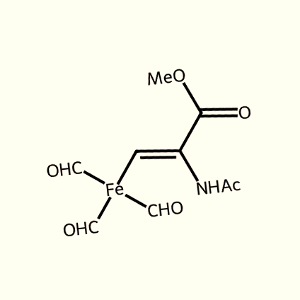 COC(=O)C(=[CH][Fe]([CH]=O)([CH]=O)[CH]=O)NC(C)=O